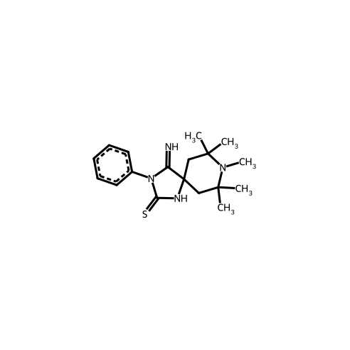 CN1C(C)(C)CC2(CC1(C)C)NC(=S)N(c1ccccc1)C2=N